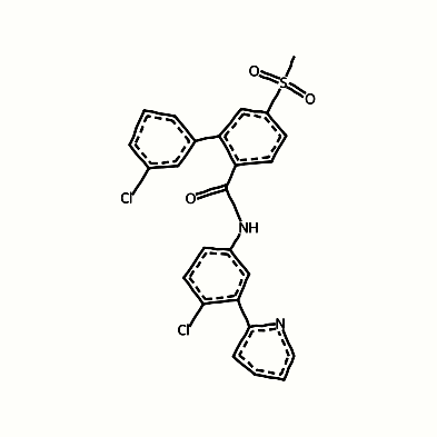 CS(=O)(=O)c1ccc(C(=O)Nc2ccc(Cl)c(-c3ccccn3)c2)c(-c2cccc(Cl)c2)c1